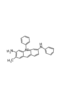 Cc1cc2cc3ccc(Nc4ccccc4)cc3[n+](-c3ccccc3)c2cc1N